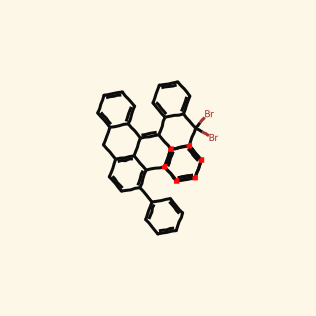 BrC1(Br)c2ccccc2C(=C2c3ccccc3Cc3ccc(-c4ccccc4)c(-c4ccccc4)c32)c2ccccc21